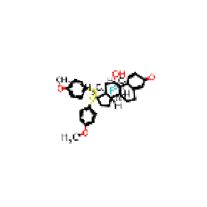 COc1ccc(SC2(Sc3ccc(OC)cc3)CC[C@H]3[C@@H]4CCC5=CC(=O)C=C[C@]5(C)[C@@]4(F)[C@@H](O)C[C@@]32C)cc1